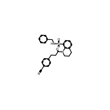 N#Cc1ccc(CCC(=O)N2CCCc3cccc(S(=O)(=O)NCc4ccccc4)c32)cc1